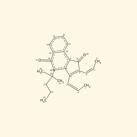 C/C=C\C1=C(/C=C\C)c2c(c3ccccc3c(=O)n2C(C)(C)CCC)C1=O